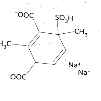 CC1=C(C(=O)[O-])C(C)(S(=O)(=O)O)C=CC1C(=O)[O-].[Na+].[Na+]